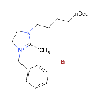 CCCCCCCCCCCCCCN1CC[N+](Cc2ccccc2)=C1C.[Br-]